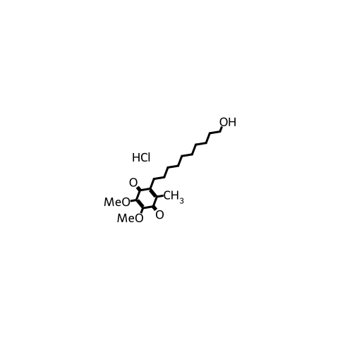 COC1=C(OC)C(=O)C(CCCCCCCCCCO)=C(C)C1=O.Cl